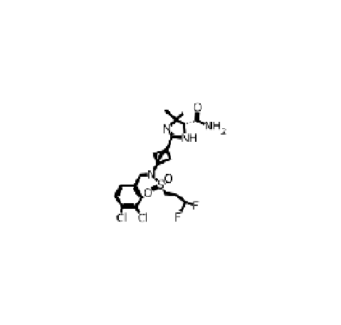 CC1(C)N=C(C23CC(N(Cc4ccc(Cl)c(Cl)c4)S(=O)(=O)CCC(F)F)(C2)C3)N[C@H]1C(N)=O